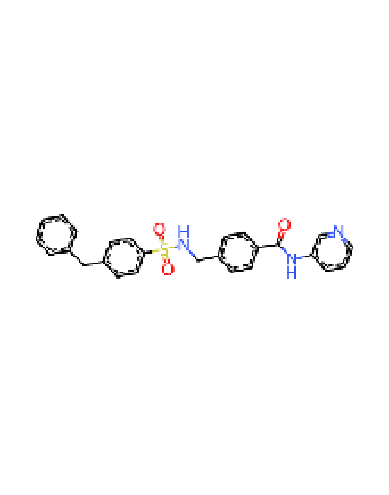 O=C(Nc1cccnc1)c1ccc(CNS(=O)(=O)c2ccc(Cc3ccccc3)cc2)cc1